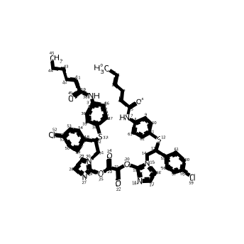 CCCCCC(=O)Nc1ccc(SC(Cn2ccnc2OC(=O)C(=O)Oc2nccn2CC(Sc2ccc(NC(=O)CCCCC)cc2)c2ccc(Cl)cc2)c2ccc(Cl)cc2)cc1